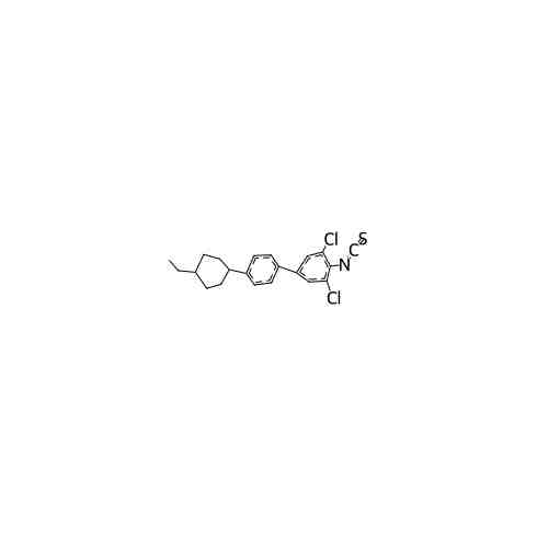 CCC1CCC(c2ccc(-c3cc(Cl)c(N=C=S)c(Cl)c3)cc2)CC1